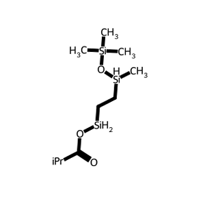 CC(C)C(=O)O[SiH2]CC[SiH](C)O[Si](C)(C)C